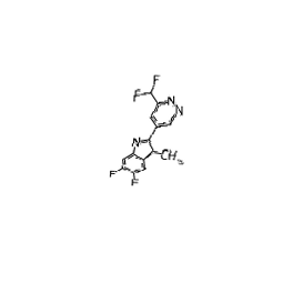 CC1C(c2cnnc(C(F)F)c2)=Nc2cc(F)c(F)cc21